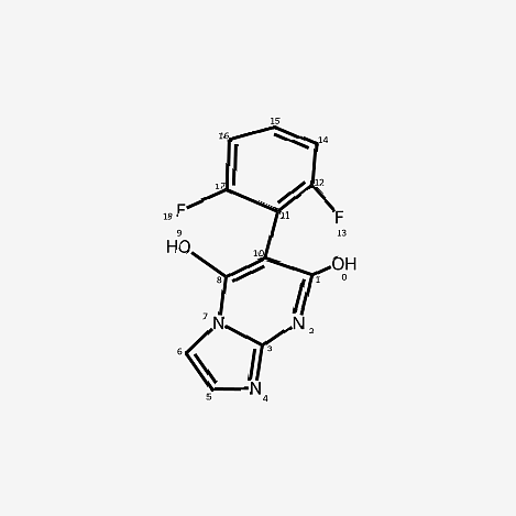 Oc1nc2nccn2c(O)c1-c1c(F)cccc1F